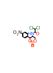 O=C(NC1CO[PH](=O)OC1c1ccc([N+](=O)[O-])cc1)C(Cl)Cl